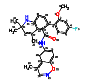 COc1cc(F)ccc1-c1ccc2c(c1C(=O)NC1=CC=C3ON=CC(C)=C3C1)C(C)=CC(C)(C)N2